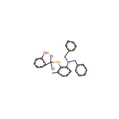 CCC(CC)(Pc1c(C)cccc1N(Cc1ccccc1)Cc1ccccc1)c1ccccc1O